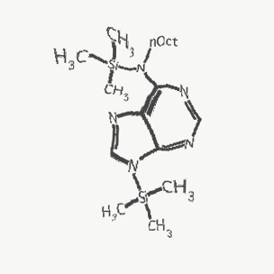 CCCCCCCCN(c1ncnc2c1ncn2[Si](C)(C)C)[Si](C)(C)C